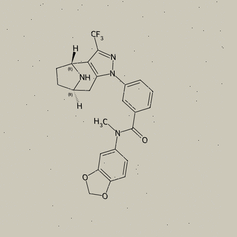 CN(C(=O)c1cccc(-n2nc(C(F)(F)F)c3c2C[C@H]2CC[C@H]3N2)c1)c1ccc2c(c1)OCO2